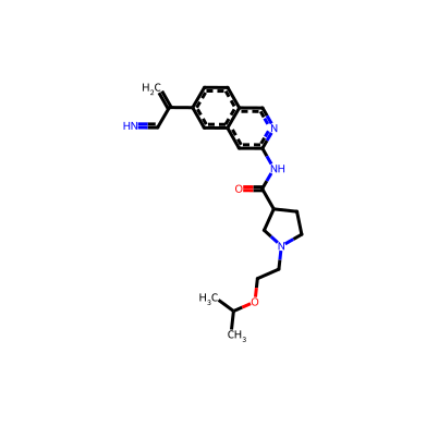 C=C(C=N)c1ccc2cnc(NC(=O)C3CCN(CCOC(C)C)C3)cc2c1